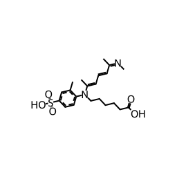 C\N=C(C)/C=C/C=C(\C)N(CCCCCC(=O)O)c1ccc(S(=O)(=O)O)cc1C